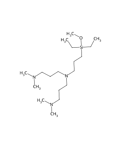 CC[Si](CC)(CCCN(CCCN(C)C)CCCN(C)C)OC